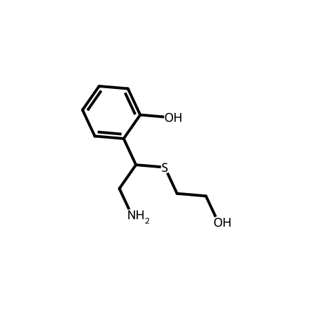 NCC(SCCO)c1ccccc1O